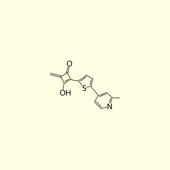 C=C1C(=O)C(c2ccc(-c3ccnc(C)c3)s2)=C1O